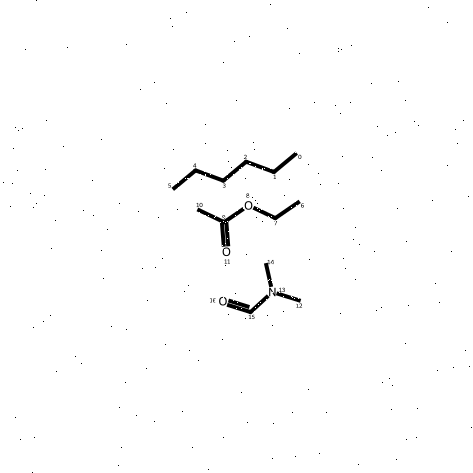 CCCCCC.CCOC(C)=O.CN(C)C=O